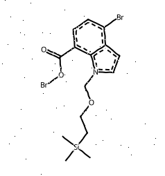 C[Si](C)(C)CCOCn1ccc2c(Br)ccc(C(=O)OBr)c21